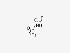 NC(=O)CCNC(=O)CF